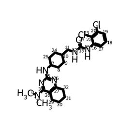 CN(C)c1nc(NC2CCC(CNC(=O)Nc3cccc(Cl)c3Cl)CC2)nc2c1CCCC2